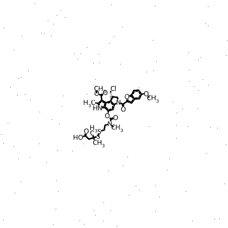 COC(=O)c1c(C)[nH]c2c(OC(=O)N(C)CCSSC(C)(C)CC(=O)O)cc3c(c12)[C@H](CCl)CN3C(=O)c1cc2cc(OC)ccc2o1